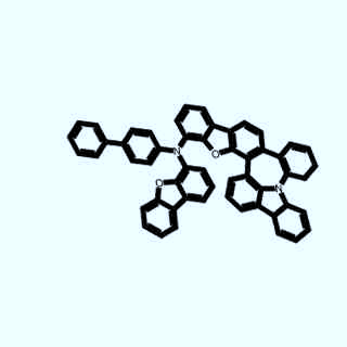 C1=CC2c3cccc4c3N(C3=C(C=CCC3)c3ccc5c(oc6c(N(c7ccc(-c8ccccc8)cc7)c7cccc8c7oc7ccccc78)cccc65)c3-4)C2C=C1